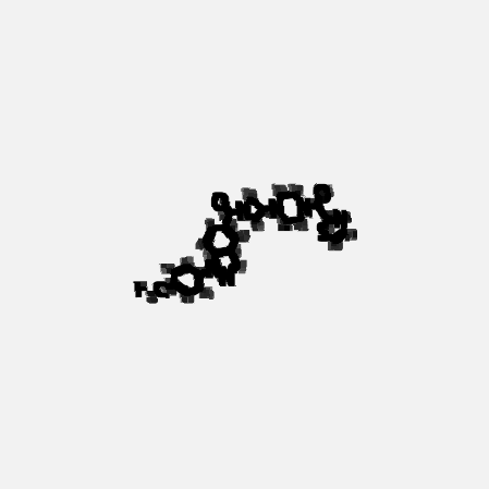 O=C(c1ccc2c(cnn2-c2ccc(C(F)(F)F)cc2)c1)N1CC(N2CCN(C(=O)c3nccs3)CC2)C1